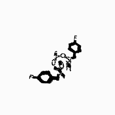 C[SiH](Cc1ccc(F)cc1)OP(=O)(F)O[Si](C)(C)Cc1ccc(F)cc1